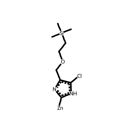 C[Si](C)(C)CCOCc1n[c]([Zn])[nH]c1Cl